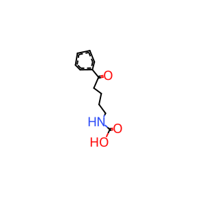 O=C(O)NCCCCC(=O)c1ccccc1